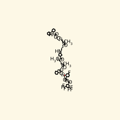 CN(CCN1CCC(OC(=O)Nc2ccccc2-c2ccccc2)CC1)C(=O)CCCCNc1ccc(C(=O)N(C)CCCN(C)C(=O)CO[C@H]2Cc3ccccc3C23CCN(CC[C@@]2(c4ccc(F)cc4)CN(C(=O)c4cc(C(F)(F)F)cc(C(F)(F)F)c4)CO2)CC3)cc1